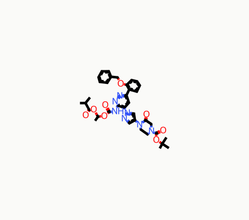 CC(OC(=O)Nc1nnc(-c2ccccc2OCc2ccccc2)cc1-n1cc(N2CCN(C(=O)OC(C)(C)C)CC2=O)cn1)OC(=O)C(C)C